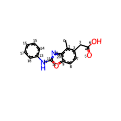 Cc1c(CC(=O)O)ccc2oc(Nc3ccccc3)nc12